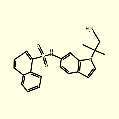 CC(C)(CN)n1ccc2ccc(NS(=O)(=O)c3cccc4ccccc34)cc21